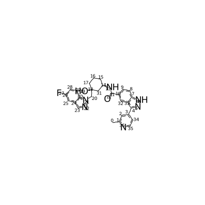 Cc1cc(-c2n[nH]c3ccc(C(=O)N[C@@H]4CCC[C@@](O)(Cn5ncc6cc(F)ccc65)C4)cc23)ccn1